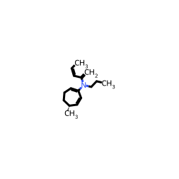 C=C(/C=C\C)N(CCC)C1=CCC[C@@H](C)C=C1